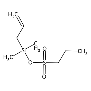 C=CC[Si](C)(C)OS(=O)(=O)CCC